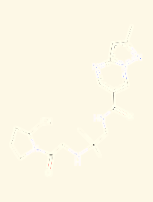 Cc1cc2ncc(C(=O)NCC(C)(C)NCC(=O)N3CCCC3C#N)cn2n1